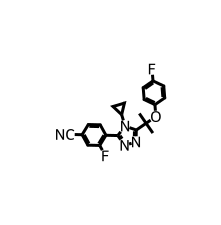 CC(C)(Oc1ccc(F)cc1)c1nnc(-c2ccc(C#N)cc2F)n1C1CC1